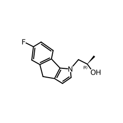 C[C@@H](O)Cn1ccc2c1-c1ccc(F)cc1C2